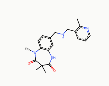 CCN1C(=O)C(C)(C)C(=O)Nc2cc(CNCc3cccnc3C)ccc21